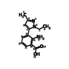 CCn1nc(C)cc1-c1cccc(C(=O)O)c1N